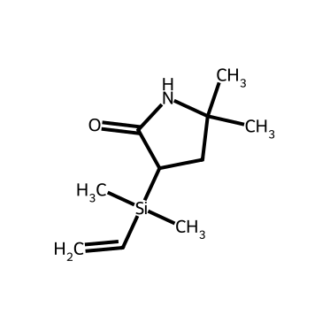 C=C[Si](C)(C)C1CC(C)(C)NC1=O